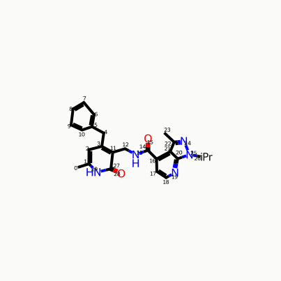 Cc1cc(Cc2ccccc2)c(CNC(=O)c2ccnc3c2c(C)nn3C(C)C)c(=O)[nH]1